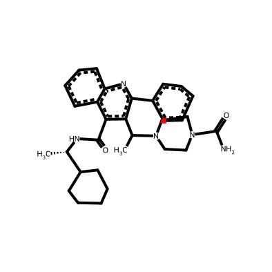 CC(c1c(-c2ccccc2)nc2ccccc2c1C(=O)N[C@@H](C)C1CCCCC1)N1CCN(C(N)=O)CC1